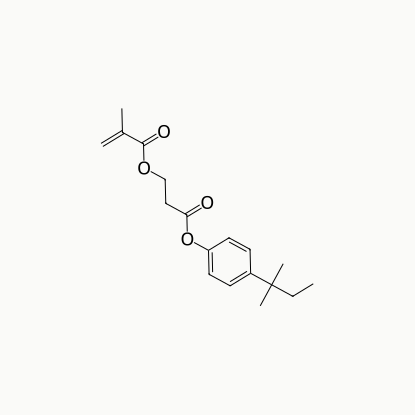 C=C(C)C(=O)OCCC(=O)Oc1ccc(C(C)(C)CC)cc1